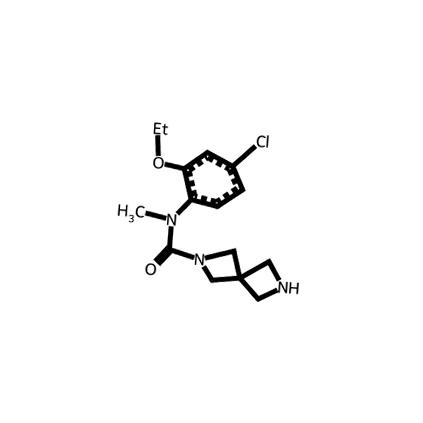 CCOc1cc(Cl)ccc1N(C)C(=O)N1CC2(CNC2)C1